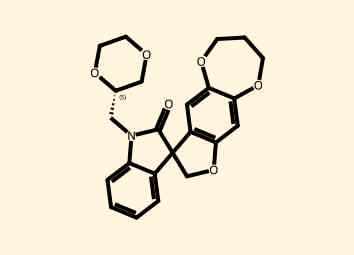 O=C1N(C[C@H]2COCCO2)c2ccccc2C12COc1cc3c(cc12)OCCCO3